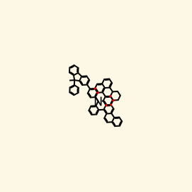 CC1(c2ccccc2)c2ccccc2-c2ccc(-c3ccc(N(c4ccccc4-c4cccc5c4ccc4ccccc45)c4ccccc4-c4cccc5cccc(C6CCCCC6)c45)cc3)cc21